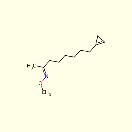 CON=C(C)CCCCCCC1=CC1